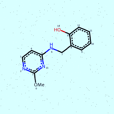 COc1nccc(NCc2ccccc2O)n1